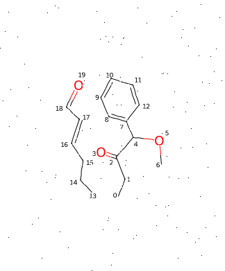 CCC(=O)C(OC)c1ccccc1.CCCC=CC=O